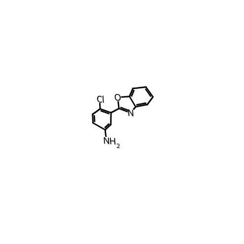 Nc1ccc(Cl)c(-c2nc3ccccc3o2)c1